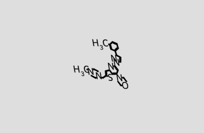 Cc1cccc(-c2ccn(-c3cc(N4CCOCC4)c4sc(CN5CCN(C)CC5)cc4n3)n2)c1